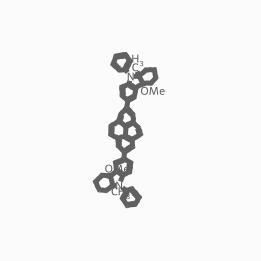 COC12CCCCC1(C)N(c1ccccc1)c1ccc(-c3cc4ccc5cc(-c6ccc7c(c6)C6(OC)CCCCC6(C)N7c6ccccc6)cc6ccc(c3)c4c56)cc12